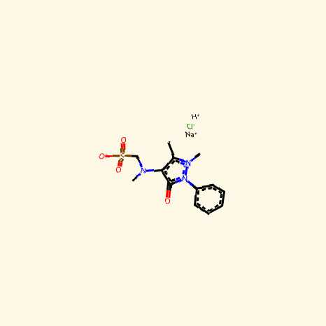 Cc1c(N(C)CS(=O)(=O)[O-])c(=O)n(-c2ccccc2)n1C.[Cl-].[H+].[Na+]